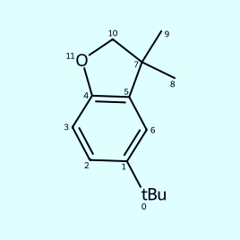 CC(C)(C)c1ccc2c(c1)C(C)(C)CO2